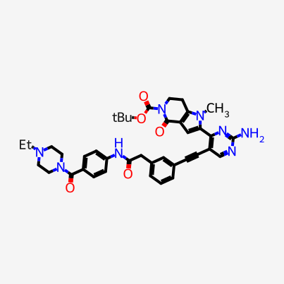 CCN1CCN(C(=O)c2ccc(NC(=O)Cc3cccc(C#Cc4cnc(N)nc4-c4cc5c(n4C)CCN(C(=O)OC(C)(C)C)C5=O)c3)cc2)CC1